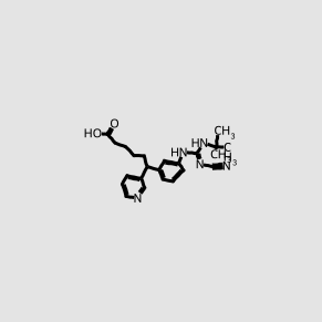 CC(C)(C)NC(=NC#N)Nc1cccc(C(CCCCC(=O)O)c2cccnc2)c1